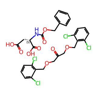 O=C(COCc1c(Cl)cccc1Cl)COCc1c(Cl)cccc1Cl.O=C(O)C[C@H](NC(=O)OCc1ccccc1)C(=O)O